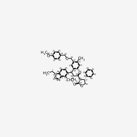 CCn1nnc2c(C)c(C(c3ccc(C)c(COCc4ccc(OC)cc4)c3)[C@@H](C)C(=O)N3C(=O)OC[C@H]3c3ccccc3)ccc21